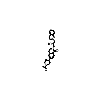 CC(=O)N1CC=C(c2ccc3c(c2)CCN(C[C@H](O)CN2CCc4ccccc4C2)C3=O)CC1